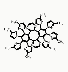 Cc1ccn(-c2c3c(c(-n4ccc(C)n4)c(-n4ccc(C)n4)c2-n2ccc(C)n2)-c2nccnc2-c2c(c(-n4ccc(C)n4)c(-n4ccc(C)n4)c(-n4ccc(C)n4)c2-n2ccc(C)n2)-c2nccnc2-3)n1